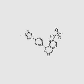 Cn1cc(-c2ccc(-c3cncc4ccc(NS(C)(=O)=O)nc34)cc2)cn1